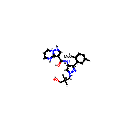 COc1ccc(C)cc1-c1nn(CC(C)(C)CO)cc1NC(=O)c1cnn2cccnc12